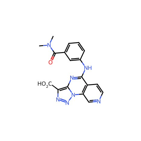 CN(C)C(=O)c1cccc(Nc2nc3c(C(=O)O)nnn3c3cnccc23)c1